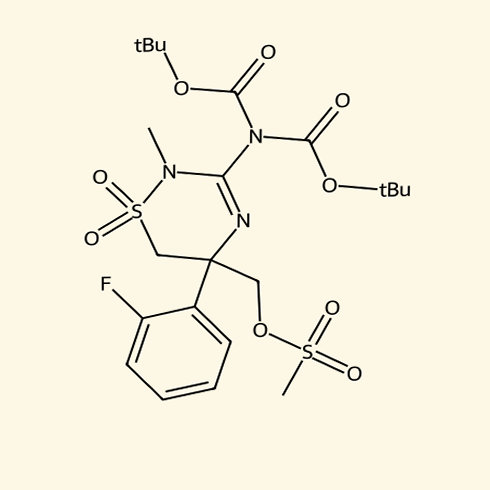 CN1C(N(C(=O)OC(C)(C)C)C(=O)OC(C)(C)C)=NC(COS(C)(=O)=O)(c2ccccc2F)CS1(=O)=O